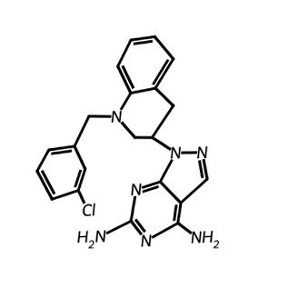 Nc1nc(N)c2cnn(C3Cc4ccccc4N(Cc4cccc(Cl)c4)C3)c2n1